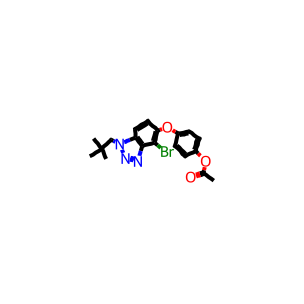 CC(=O)Oc1ccc(Oc2ccc3c(nnn3CC(C)(C)C)c2Br)cc1